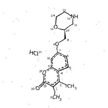 Cc1c(C)c2ccc(OC[C@@H]3CNCCO3)cc2oc1=O.Cl